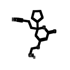 C#CCCC1(C2CCCC2)CC(OCC)=CC(=O)O1